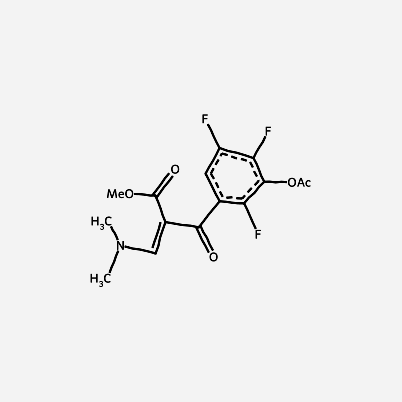 COC(=O)C(=CN(C)C)C(=O)c1cc(F)c(F)c(OC(C)=O)c1F